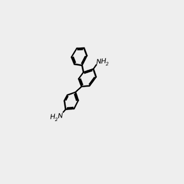 Nc1ccc(-c2ccc(N)c(-c3ccccc3)c2)cc1